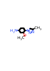 COc1cc(N)ccc1-n1cc(C)nn1